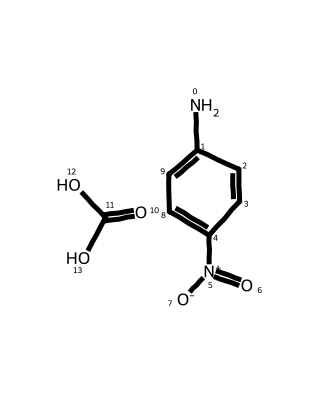 Nc1ccc([N+](=O)[O-])cc1.O=C(O)O